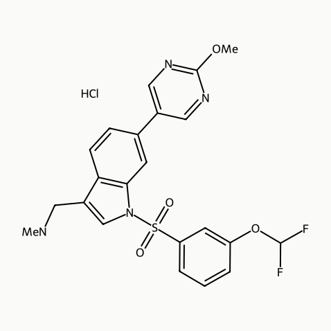 CNCc1cn(S(=O)(=O)c2cccc(OC(F)F)c2)c2cc(-c3cnc(OC)nc3)ccc12.Cl